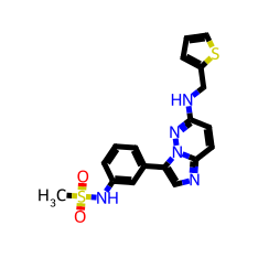 CS(=O)(=O)Nc1cccc(-c2cnc3ccc(NCc4cccs4)nn23)c1